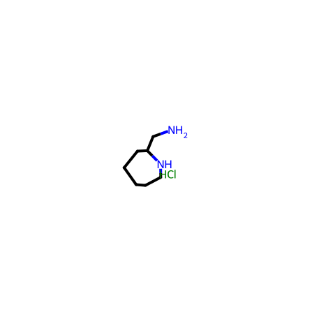 Cl.NCC1CCCCCN1